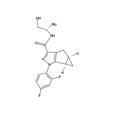 CC(C)(C)[C@@H](CO)NC(=O)c1nn(-c2ccc(F)cc2F)c2c1C[C@H]1C[C@@H]21